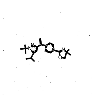 C=C(c1ccc(C2=NC(C)(C)CO2)cc1)c1cc(C(C)C)n(C(C)(C)C)n1